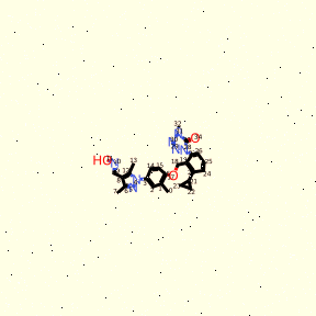 Cc1cc(-n2nc(C)c(C=NO)c2C)ccc1OCc1c(C2CC2)cccc1-n1nnn(C)c1=O